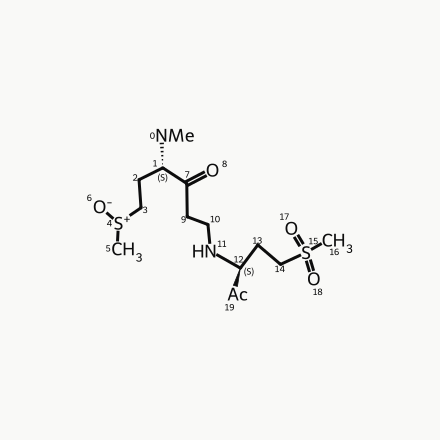 CN[C@@H](CC[S+](C)[O-])C(=O)CCN[C@@H](CCS(C)(=O)=O)C(C)=O